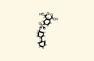 O=C(O)c1ccc(S(=O)(=O)Oc2ccc(-c3ccccc3)cc2)cc1C(=O)O